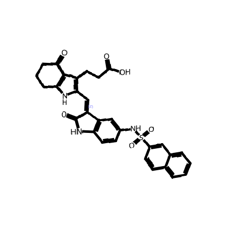 O=C(O)CCc1c(/C=C2\C(=O)Nc3ccc(NS(=O)(=O)c4ccc5ccccc5c4)cc32)[nH]c2c1C(=O)CCC2